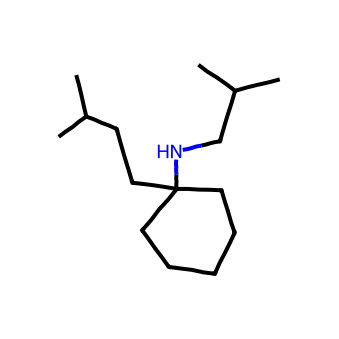 CC(C)CCC1(NCC(C)C)CCCCC1